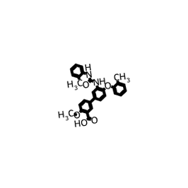 COc1ccc(-c2ccc(Oc3ccccc3C)c(NC(=O)Nc3ccccc3C)c2)cc1C(=O)O